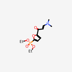 CCOP(=O)(OCC)c1ccc(C(=O)C=CN(C)C)o1